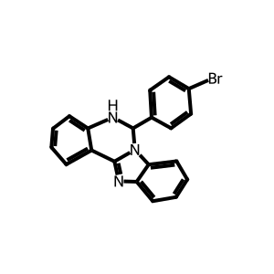 Brc1ccc(C2Nc3ccccc3-c3nc4ccccc4n32)cc1